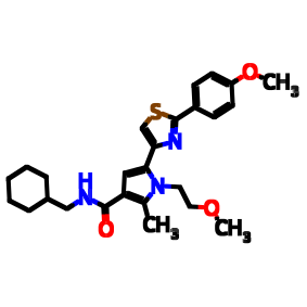 COCCn1c(-c2csc(-c3ccc(OC)cc3)n2)cc(C(=O)NCC2CCCCC2)c1C